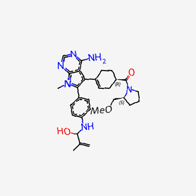 C=C(C)C(O)Nc1ccc(-c2c(C3=CC[C@H](C(=O)N4CCC[C@H]4COC)CC3)c3c(N)ncnc3n2C)cc1